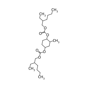 CCCCC(CC)COC(=O)OC1CCC(OC(=O)OCC(CC)CCCC)C(C)C1